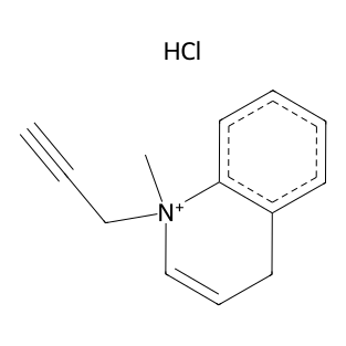 C#CC[N+]1(C)C=CCc2ccccc21.Cl